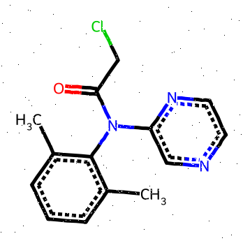 Cc1cccc(C)c1N(C(=O)CCl)c1cnccn1